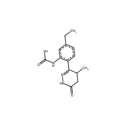 CCc1ccc(C2=NNC(=O)CC2C)c(NC(=O)S)c1